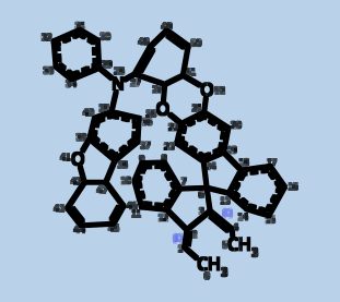 C/C=C1\C(=C/C)C2(c3ccccc31)c1ccccc1-c1cc3c(cc12)OC1C(N(c2ccccc2)c2ccc4c(c2)OC2C=CC=CC42)=CC=CC1O3